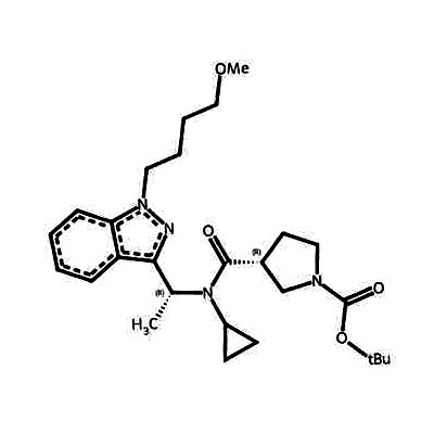 COCCCCn1nc([C@@H](C)N(C(=O)[C@@H]2CCN(C(=O)OC(C)(C)C)C2)C2CC2)c2ccccc21